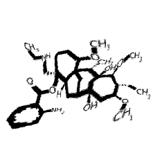 CCNC[C@]1(OC(=O)c2ccccc2N)CC=C(OC)C23CC(C[C@@H]21)[C@@]1(O)C[C@H](OC)[C@@H](CC)[C@H](OC)[C@@]1(O)[C@H]3C